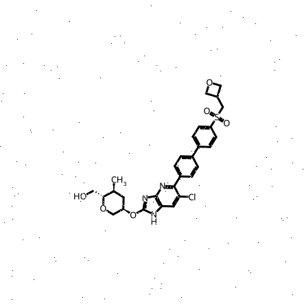 C[C@H]1C[C@@H](Oc2nc3nc(-c4ccc(-c5ccc(S(=O)(=O)CC6COC6)cc5)cc4)c(Cl)cc3[nH]2)CO[C@@H]1CO